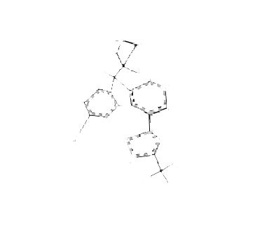 CC(C)(O)c1nc(-c2cncc(C(O)(c3ccc(Br)cc3)C3(C)CNC3)c2)no1